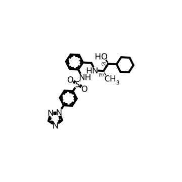 C[C@H](NCc1ccccc1NS(=O)(=O)c1ccc(-n2cncn2)cc1)[C@@H](O)C1CCCCC1